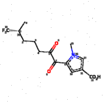 C[C@H](CCCC(=O)C(=O)c1cc(C(=O)O)cn1C)C(F)(F)F